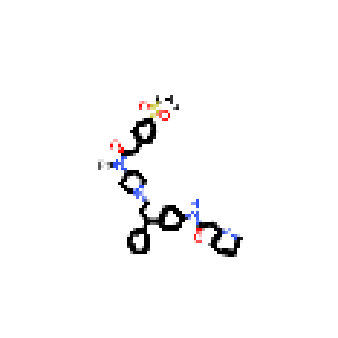 CCN(C(=O)Cc1ccc(S(C)(=O)=O)cc1)C1CCN(CCC(c2ccccc2)c2ccc(NC(=O)Cc3ccccn3)cc2)CC1